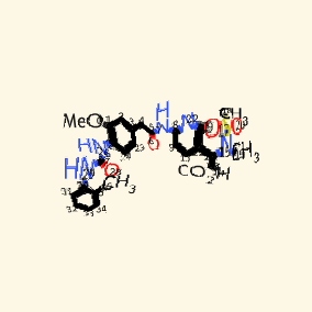 COc1cc(CC(=O)Nc2ccc(C(CC(=O)O)N(C)S(C)(=O)=O)cn2)ccc1NC(=O)Nc1ccccc1C